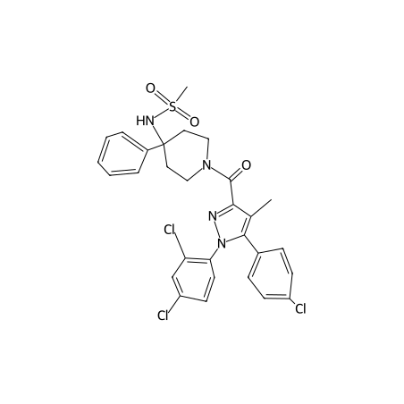 Cc1c(C(=O)N2CCC(NS(C)(=O)=O)(c3ccccc3)CC2)nn(-c2ccc(Cl)cc2Cl)c1-c1ccc(Cl)cc1